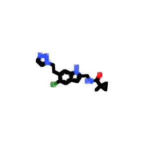 CC1(C(=O)NCc2cc3cc(Cl)c(CCn4ccnn4)cc3[nH]2)CC1